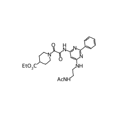 CCOC(=O)C1CCN(C(=O)C(=O)Nc2cc(NCCNC(C)=O)nc(-c3ccccc3)n2)CC1